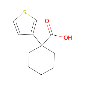 O=C(O)C1(c2ccsc2)CCCCC1